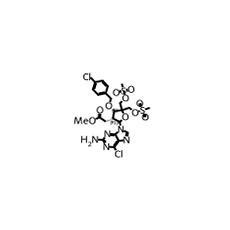 COC(=O)C[C@H]1[C@H](n2cnc3c(Cl)nc(N)nc32)OC(COS(C)(=O)=O)(COS(C)(=O)=O)[C@H]1OCc1ccc(Cl)cc1